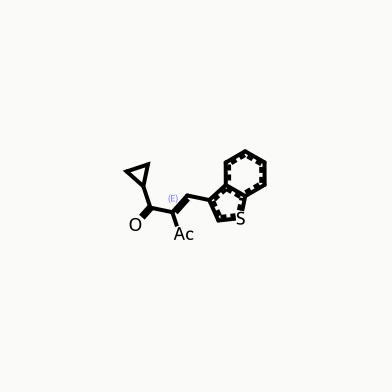 CC(=O)/C(=C\c1csc2ccccc12)C(=O)C1CC1